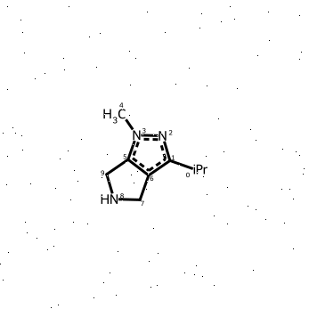 CC(C)c1nn(C)c2c1CNC2